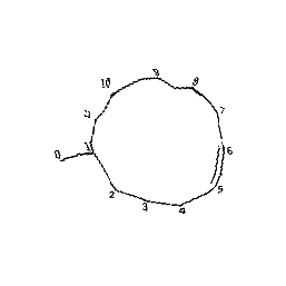 CC1CCCC=CCCCCC1